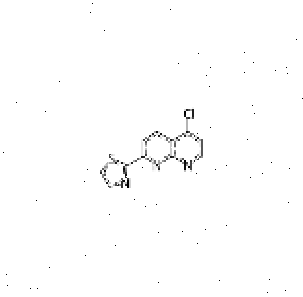 Clc1ccnc2nc(-c3nccs3)ccc12